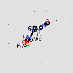 COc1cc(S(C)(=O)=O)ccc1NCC#Cc1cc2c(N[C@H]3CC[C@H](N4CC5(CCCOC5)C4)CC3)cccc2n1CC(F)(F)F